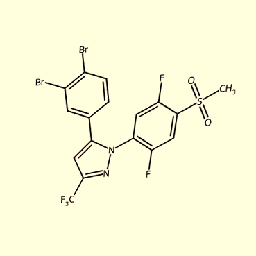 CS(=O)(=O)c1cc(F)c(-n2nc(C(F)(F)F)cc2-c2ccc(Br)c(Br)c2)cc1F